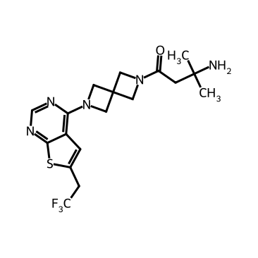 CC(C)(N)CC(=O)N1CC2(C1)CN(c1ncnc3sc(CC(F)(F)F)cc13)C2